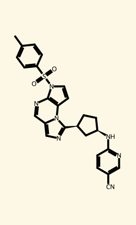 Cc1ccc(S(=O)(=O)n2ccc3c2ncc2cnc([C@H]4CC[C@@H](Nc5ccc(C#N)cn5)C4)n23)cc1